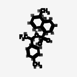 Cc1ccc(C(OS(=O)(=O)c2cccc3c(C)cccc23)C(F)(F)F)cc1